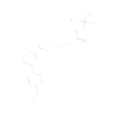 CC(C)(C)c1nc(CCCCCNc2cccc(-c3ccc(OC(F)F)cc3)c2)no1